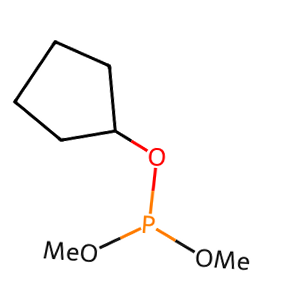 COP(OC)OC1CCCC1